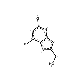 OCc1cn2nc(Cl)cc(Br)c2n1